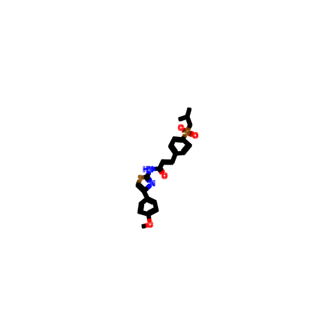 COc1ccc(-c2csc(NC(=O)C=Cc3ccc(S(=O)(=O)CC(C)C)cc3)n2)cc1